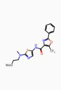 COCCN(C)c1ncc(NC(=O)c2nc(-c3ccccc3)oc2C(F)(F)F)s1